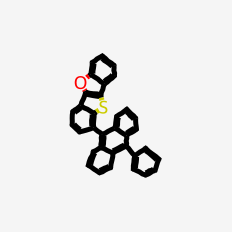 c1ccc(-c2c3ccccc3c(-c3cccc4c3sc3c5ccccc5oc43)c3ccccc23)cc1